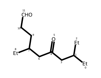 CCC(CC)CC(=O)CC(CC)CCC=O